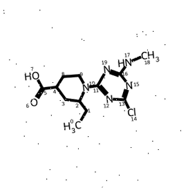 CCC1CC(C(=O)O)CCN1c1nc(Cl)nc(NC)n1